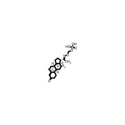 C/C(=N\OCOP(=O)(O)O)[C@H]1CC[C@H]2[C@@H]3CCC4=CC(=O)CC[C@]4(C)[C@H]3CC[C@]12C